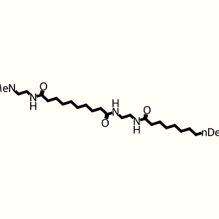 CCCCCCCCCCCCCCCCCC(=O)NCCNC(=O)CCCCCCCCC(=O)NCCNC